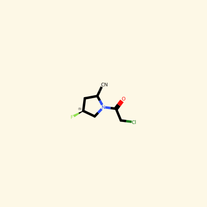 N#CC1C[C@H](F)CN1C(=O)CCl